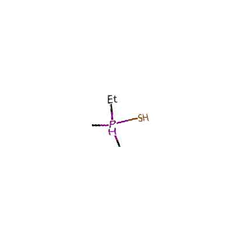 CC[PH](C)(C)S